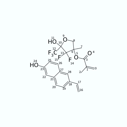 C=C(C)C(=O)OC1(C)COC(O)(C(F)(F)F)C1(F)F.C=Cc1ccc2cc(O)ccc2c1